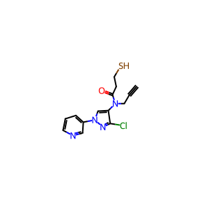 C#CCN(C(=O)CCS)c1cn(-c2cccnc2)nc1Cl